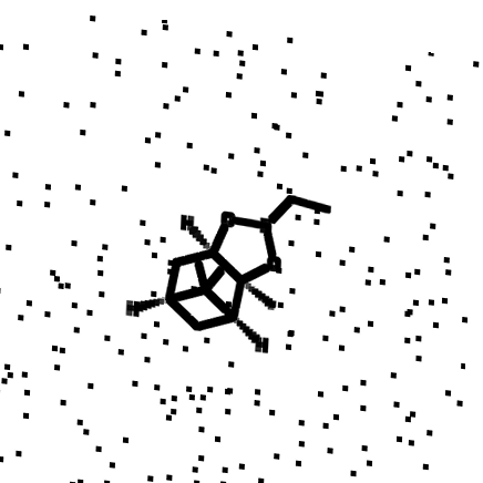 CCB1O[C@@H]2C[C@@H]3C[C@@H](C3(C)C)[C@]2(C)O1